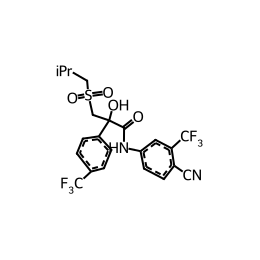 CC(C)CS(=O)(=O)CC(O)(C(=O)Nc1ccc(C#N)c(C(F)(F)F)c1)c1ccc(C(F)(F)F)cc1